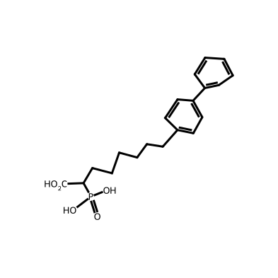 O=C(O)C(CCCCCCc1ccc(-c2ccccc2)cc1)P(=O)(O)O